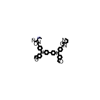 C=Nc1oc(-c2ccc(N(c3ccc(-c4ccc(N(c5ccc(-c6nc7cccnc7o6)cc5)c5ccc6occc6c5)cc4)cc3)c3ccc4occc4c3)cc2)nc1/C=C\C